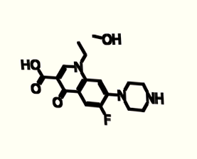 CCn1cc(C(=O)O)c(=O)c2cc(F)c(N3CCNCC3)cc21.CO